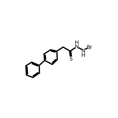 S=C(Cc1ccc(-c2ccccc2)cc1)NNBr